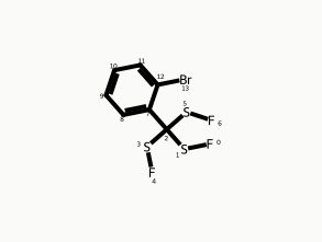 FSC(SF)(SF)c1ccccc1Br